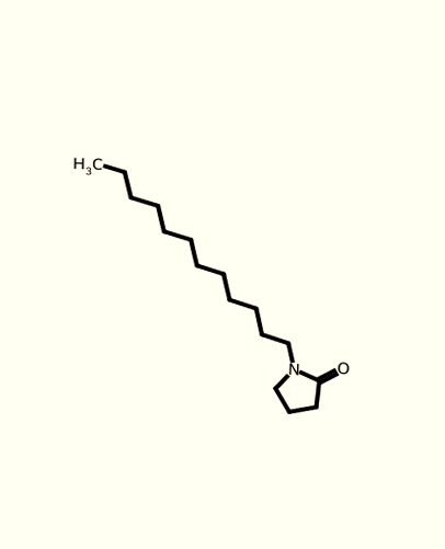 CCCCCCCCCCCCN1CCCC1=O